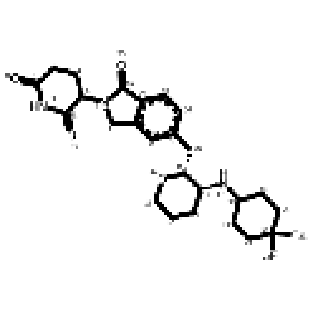 O=C1CCC(N2Cc3cc(C[C@H]4OCCC[C@@H]4NC4CCC(F)(F)CC4)ccc3C2=O)C(=O)N1